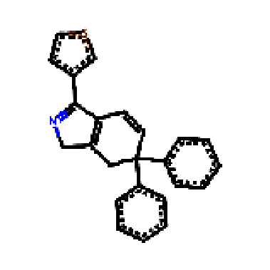 C1=CC(c2ccccc2)(c2ccccc2)CC2=C1C(c1ccsc1)=NC2